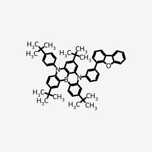 CC(C)(C)c1ccc(N2c3ccc(C(C)(C)C)cc3B3c4ccc(C(C)(C)C)cc4N(c4cccc(-c5cccc6c5oc5ccccc56)c4)c4cc(C(C)(C)C)cc2c43)cc1